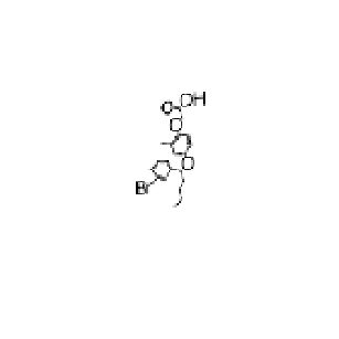 CCCCC(Oc1ccc(OCC(=O)O)c(C)c1)c1cccc(Br)c1